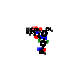 CNC(=O)c1cc(F)c(-c2nc3cc(C)ccc3n2CC2CN(C(=O)O)C(C(C)(C)C)CO2)c(F)c1